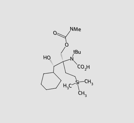 CNC(=O)OC[C@](CC[Si](C)(C)C)([C@@H](O)C1CCCCC1)N(C(=O)O)C(C)(C)C